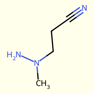 CN(N)CCC#N